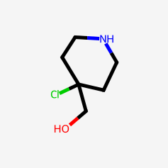 OCC1(Cl)CCNCC1